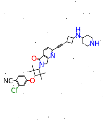 CC1(C)[C@H](Oc2ccc(C#N)c(Cl)c2)C(C)(C)[C@H]1N1Cc2nc(C#CC3CC(NC4CCNCC4)C3)ccc2C1=O